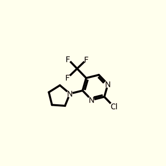 FC(F)(F)c1cnc(Cl)nc1N1CCCC1